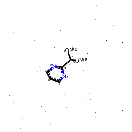 COC(OC)c1ncccn1